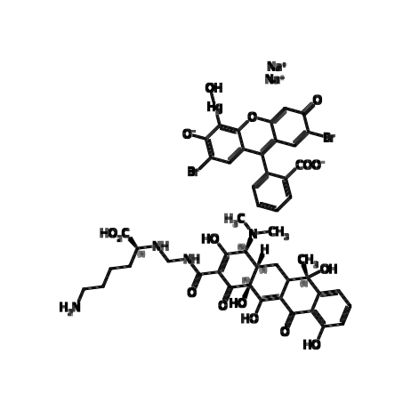 CN(C)[C@@H]1C(O)=C(C(=O)NCN[C@@H](CCCCN)C(=O)O)C(=O)[C@@]2(O)C(O)=C3C(=O)c4c(O)cccc4[C@@](C)(O)C3C[C@@H]12.O=C([O-])c1ccccc1-c1c2cc(Br)c(=O)cc-2oc2[c]([Hg][OH])c([O-])c(Br)cc12.[Na+].[Na+]